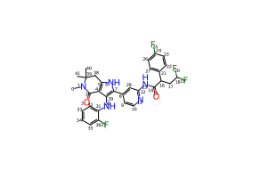 CN1C(=O)c2c([nH]c(-c3ccnc(NC(=O)C(CC(F)F)c4ccc(F)cc4)c3)c2Nc2ccccc2F)CC1(C)C